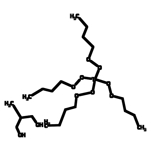 CC(CO)CO.CCCCO[O][Ti]([O]OCCCC)([O]OCCCC)[O]OCCCC